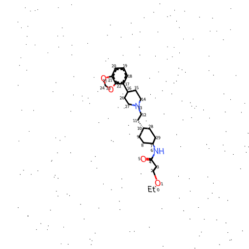 CCOCCC(=O)N[C@H]1CC[C@H](CCN2CCC(c3cccc4c3OCO4)CC2)CC1